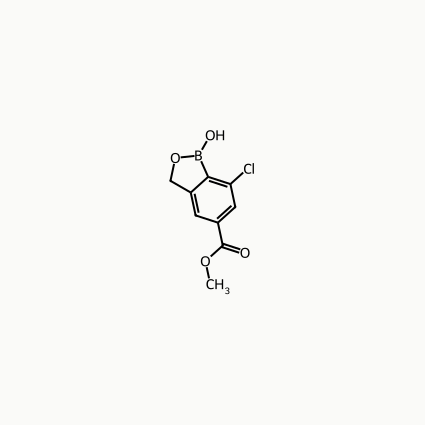 COC(=O)c1cc(Cl)c2c(c1)COB2O